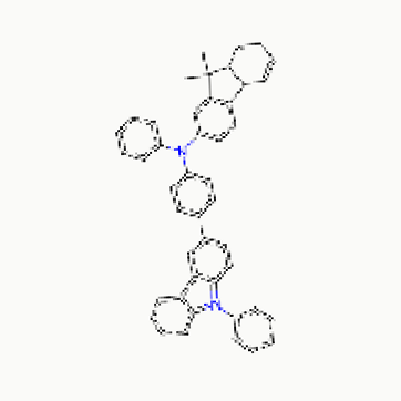 CC1(C)c2cc(N(c3ccccc3)c3ccc(-c4ccc5c(c4)c4ccccc4n5-c4ccccc4)cc3)ccc2C2C=CC=CC21